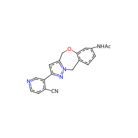 CC(=O)Nc1ccc2c(c1)OCc1cc(-c3cnccc3C#N)nn1C2